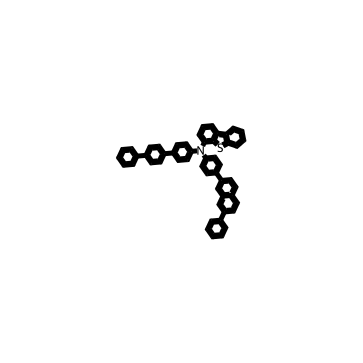 c1ccc(-c2ccc(-c3ccc(N(c4ccc(-c5ccc6ccc(-c7ccccc7)cc6c5)cc4)c4cccc5c4sc4ccccc45)cc3)cc2)cc1